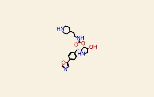 O=C(NCCC1CCNCC1)O[C@@H]1[C@@H](O)CN[C@@H]1Cc1ccc(-c2cnco2)cc1